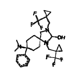 CN(C)[C@]1(c2ccccc2)CC[C@]2(CC1)CN(CC1(C(F)(F)F)CC1)C(O)N2CC1(C(F)(F)F)CC1